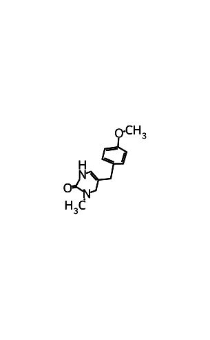 COc1ccc(CC2=CNC(=O)N(C)C2)cc1